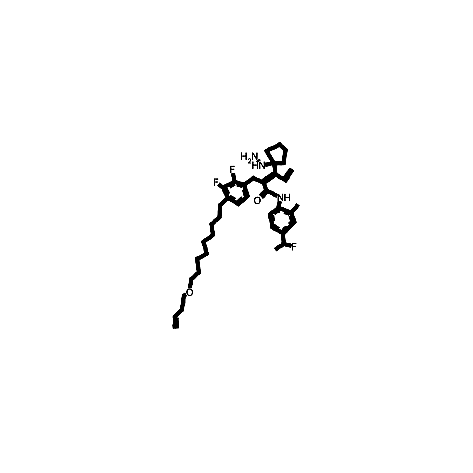 C=CCCOCCCCCCCCCc1ccc(C/C(C(=O)Nc2ccc(C(C)F)cc2C)=C(/C=C)C2(NN)CCCC2)c(F)c1F